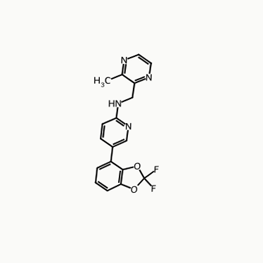 Cc1nccnc1CNc1ccc(-c2cccc3c2OC(F)(F)O3)cn1